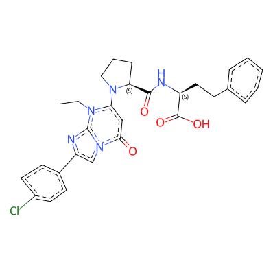 CCn1c(N2CCC[C@H]2C(=O)N[C@@H](CCc2ccccc2)C(=O)O)cc(=O)n2cc(-c3ccc(Cl)cc3)nc12